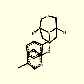 Cc1ccc(O[C@H]2C[C@H]3COC[C@@H](C2)N3Cc2ccccc2)nc1